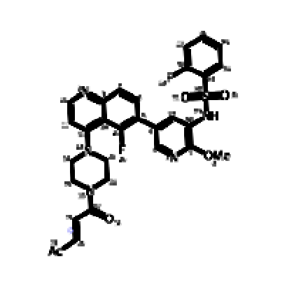 COc1ncc(-c2ccc3nccc(N4CCN(C(=O)/C=C/C(C)=O)CC4)c3c2F)cc1NS(=O)(=O)c1ccccc1F